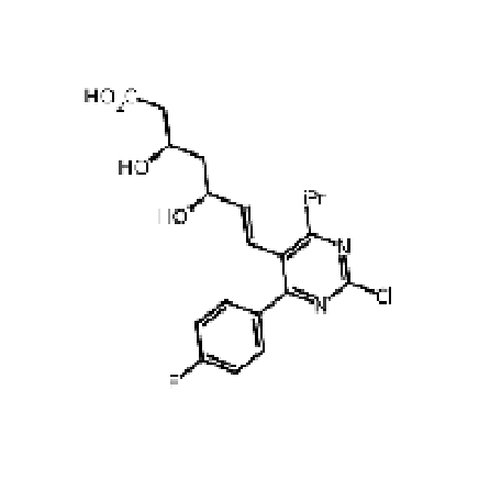 CC(C)c1nc(Cl)nc(-c2ccc(F)cc2)c1/C=C/[C@@H](O)C[C@@H](O)CC(=O)O